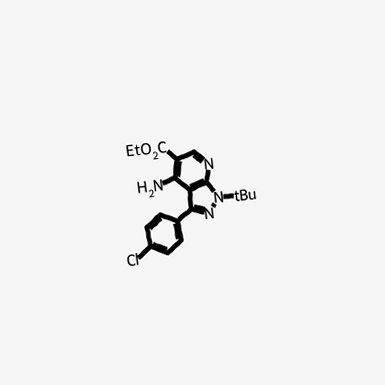 CCOC(=O)c1cnc2c(c(-c3ccc(Cl)cc3)nn2C(C)(C)C)c1N